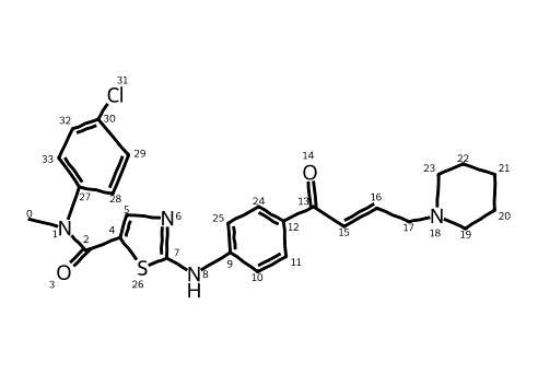 CN(C(=O)c1cnc(Nc2ccc(C(=O)/C=C/CN3CCCCC3)cc2)s1)c1ccc(Cl)cc1